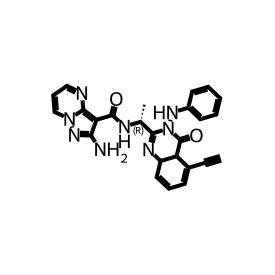 C#CC1=CC=CC2N=C([C@@H](C)NC(=O)c3c(N)nn4cccnc34)N(Nc3ccccc3)C(=O)C12